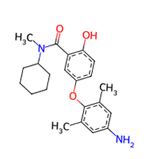 Cc1cc(N)cc(C)c1Oc1ccc(O)c(C(=O)N(C)C2CCCCC2)c1